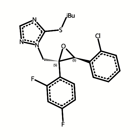 CCC(C)Sc1ncnn1C[C@]1(c2ccc(F)cc2F)O[C@H]1c1ccccc1Cl